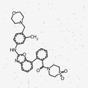 Cc1cc(Nc2nc3cccc(-c4ccccc4C(=O)N4CCS(=O)(=O)CC4)c3o2)ccc1CN1CCOCC1